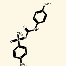 COc1ccc(NC(=O)N=S(C)(=O)c2ccc(N)cc2)cc1